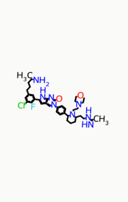 CC(=N)NCCC1CCCC(c2ccc(-n3cc4cc(-c5cc(CCCC(C)N)cc(Cl)c5F)[nH]c4nc3=O)cc2)N1CCN1CCOCC1